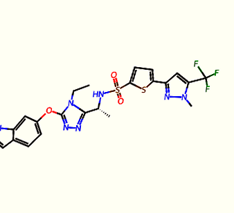 CCn1c(Oc2ccc3cc[nH]c3c2)nnc1[C@@H](C)NS(=O)(=O)c1ccc(-c2cc(C(F)(F)F)n(C)n2)s1